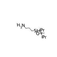 CC(C)C(C)(O[SiH2]CCCN)C(C)C